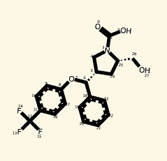 O=C(O)N1C[C@@H](C(Oc2ccc(C(F)(F)F)cc2)c2ccccc2)C[C@H]1CO